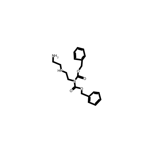 NCCNCCN(C(=O)OCc1ccccc1)C(=O)OCc1ccccc1